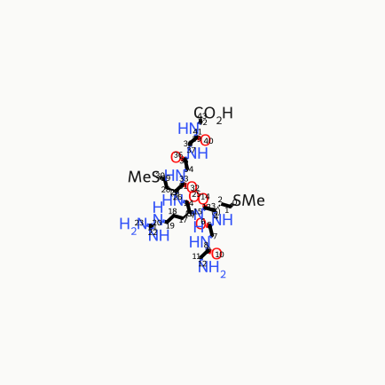 CSCC[C@H](NC(=O)CNC(=O)CN)C(=O)N[C@@H](CCCNC(=N)N)C(=O)N[C@@H](CCSC)C(=O)NCC(=O)NCC(=O)NCC(=O)O